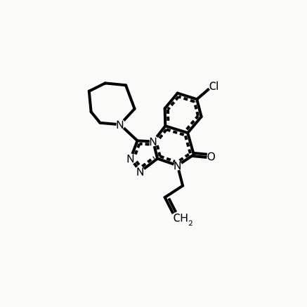 C=CCn1c(=O)c2cc(Cl)ccc2n2c(N3CCCCCC3)nnc12